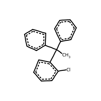 CC(c1ccccc1)(c1ccccc1)c1ccccc1Cl